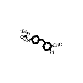 CC(C)(C)OC(=O)Nc1ccc(Cc2ccc(Cl)c(C=O)c2)cc1